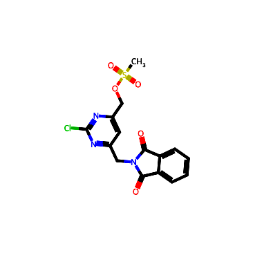 CS(=O)(=O)OCc1cc(CN2C(=O)c3ccccc3C2=O)nc(Cl)n1